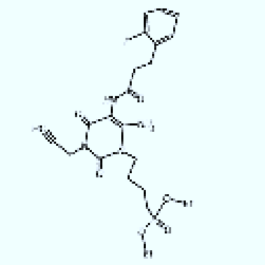 C#CCn1c(=O)c(NC(=O)CCc2ccccc2I)c(N)n(CCCCP(=O)(OCC)OCC)c1=O